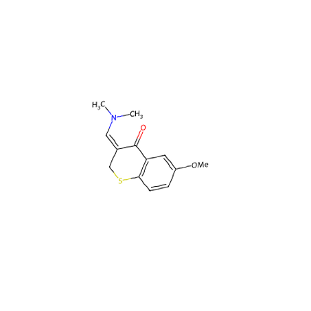 COc1ccc2c(c1)C(=O)/C(=C\N(C)C)CS2